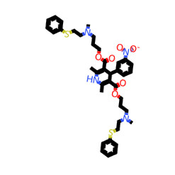 CC1=C(C(=O)OCCCN(C)CCSc2ccccc2)C(c2cccc([N+](=O)[O-])c2)C(C(=O)OCCCN(C)CCSc2ccccc2)=C(C)N1